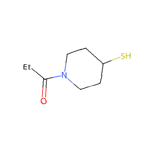 CCC(=O)N1CCC(S)CC1